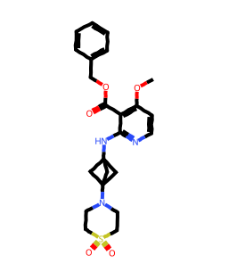 COc1ccnc(NC23CC(N4CCS(=O)(=O)CC4)(C2)C3)c1C(=O)OCc1ccccc1